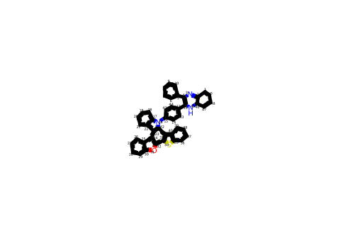 C1=CC2=NC(c3ccccc3)=C(c3ccc(-n4c5ccccc5c5c6c7ccccc7oc6c6sc7ccccc7c6c54)cc3)NC2C=C1